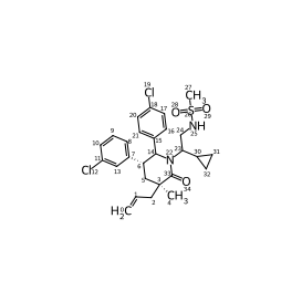 C=CC[C@@]1(C)C[C@H](c2cccc(Cl)c2)C(c2ccc(Cl)cc2)N(C(CNS(C)(=O)=O)C2CC2)C1=O